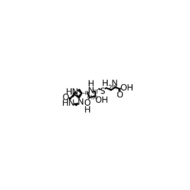 N[C@@H](CCSC[C@H]1N[C@@H](c2c[nH]c3c(=O)[nH]cnc23)[C@H](O)[C@@H]1O)C(=O)O